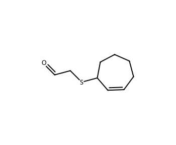 O=CCSC1C=CCCCC1